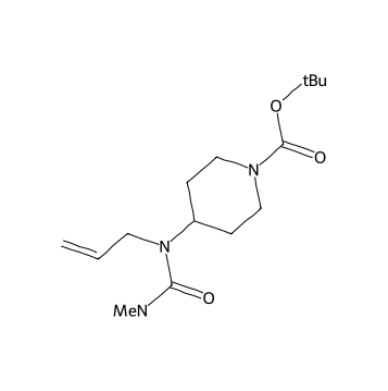 C=CCN(C(=O)NC)C1CCN(C(=O)OC(C)(C)C)CC1